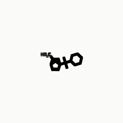 CC(C)(C1CCCCC1)C12C=CC(C1)C(C(=O)O)C2